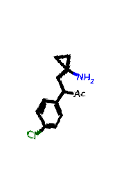 CC(=O)C(CC1(N)CC1)c1ccc(Cl)cc1